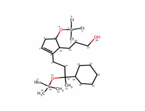 CC[Si](CC)(CC)OC1CC=C(CCC(C)(O[Si](C)(C)C(C)(C)C)C2CCCCC2)C1CCCO